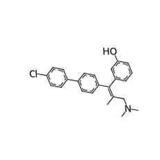 C/C(CN(C)C)=C(\c1ccc(-c2ccc(Cl)cc2)cc1)c1cccc(O)c1